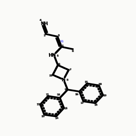 C/C(=C/C=N)NC1CN(C(c2ccccc2)c2ccccc2)C1